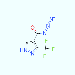 [N-]=[N+]=NC(=O)c1c[nH]nc1C(F)(F)F